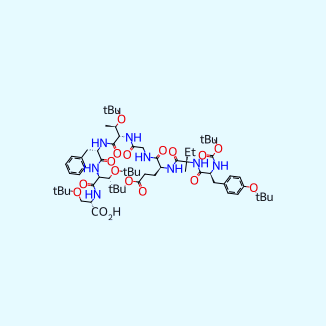 CC[C@](C)(NC(=O)[C@H](Cc1ccc(OC(C)(C)C)cc1)NC(=O)OC(C)(C)C)C(=O)N[C@@H](CCC(=O)OC(C)(C)C)C(=O)NCC(=O)N[C@H](C(=O)N[C@@H](Cc1ccccc1)C(=O)N[C@H](C(=O)N[C@@H](COC(C)(C)C)C(=O)O)[C@@H](C)OC(C)(C)C)[C@@H](C)OC(C)(C)C